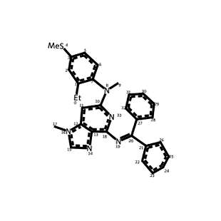 CCc1cc(SC)ccc1N(C)c1cc2c(ncn2C)c(N=C(c2ccccc2)c2ccccc2)n1